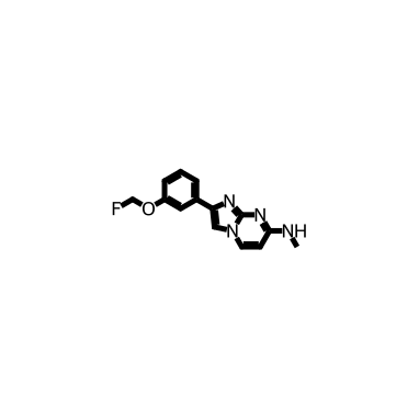 CNc1ccn2cc(-c3cccc(OCF)c3)nc2n1